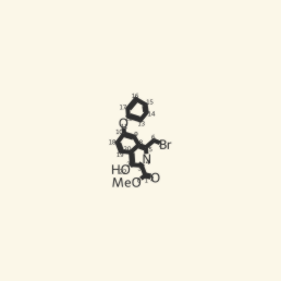 COC(=O)c1nc(CBr)c2cc(Oc3ccccc3)ccc2c1O